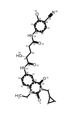 CCn1c(=O)n(CC2CC2)c(=O)c2cc(NC(=O)[C@H](O)CCC(=O)Nc3ccc(C#N)c(Cl)c3)ccc21